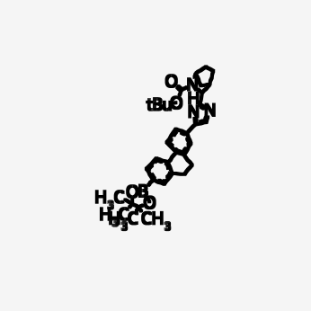 CC(C)(C)OC(=O)N1C2CCC(C2)C1c1ncc(-c2ccc3c(c2)CCc2cc(B4OC(C)(C)C(C)(C)O4)ccc2-3)[nH]1